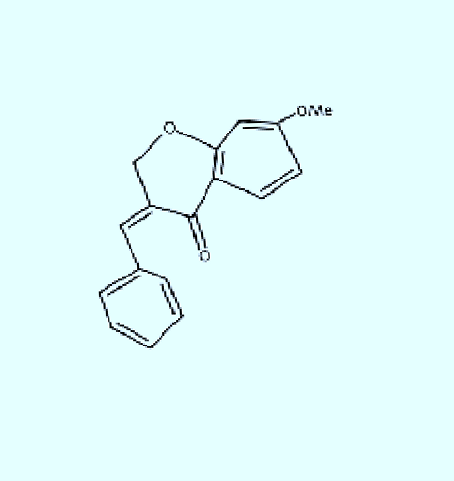 COc1ccc2c(c1)OC/C(=C/c1ccccc1)C2=O